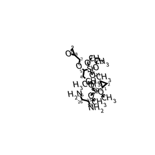 C1CC1.CCC(OCC1CO1)[Si](OC)(OC)OC.CO[SiH](OC)OC.NCCN